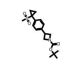 CC(C)(C)OC(=O)N1CC(c2ccc(C3(S(C)(=O)=O)CC3)cc2)C1